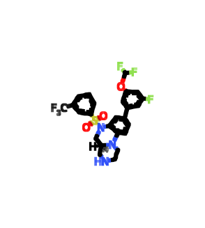 O=S(=O)(c1cccc(C(F)(F)F)c1)N1C[C@H]2CNCCN2c2ccc(-c3cc(F)cc(OC(F)F)c3)cc21